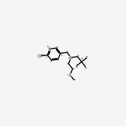 CSCCN(Cc1ccc(Cl)nc1)CC(C)(C)C